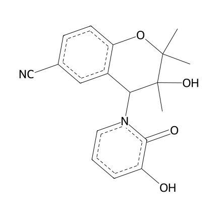 CC1(C)Oc2ccc(C#N)cc2C(n2cccc(O)c2=O)C1(C)O